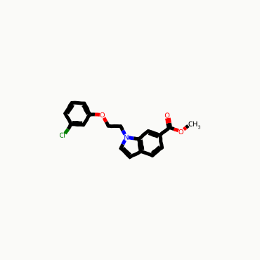 COC(=O)c1ccc2ccn(CCOc3cccc(Cl)c3)c2c1